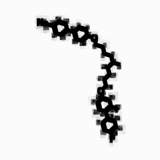 CC(CCCCOc1ccc(-c2ccc(C#N)cc2)cc1)CCCCOc1ccc(-c2ccc(F)cc2)c(F)c1